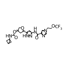 O=C(NC12CC(C1)C2)O[C@H]1CO[C@@H](c2cc(NC(=O)c3cn(CCOC(F)(F)F)cn3)n[nH]2)C1